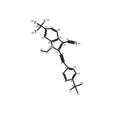 CCn1c(C#Cc2ccc(C(C)(C)C)cc2)c(C#N)c2ccc(C(F)(F)F)cc21